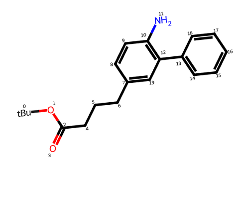 CC(C)(C)OC(=O)CCCc1ccc(N)c(-c2ccccc2)c1